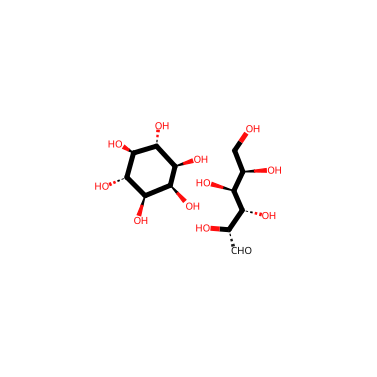 O=C[C@H](O)[C@@H](O)[C@@H](O)[C@H](O)CO.O[C@H]1[C@H](O)[C@@H](O)[C@H](O)[C@@H](O)[C@H]1O